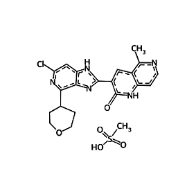 CS(=O)(=O)O.Cc1nccc2[nH]c(=O)c(-c3nc4c(C5CCOCC5)nc(Cl)cc4[nH]3)cc12